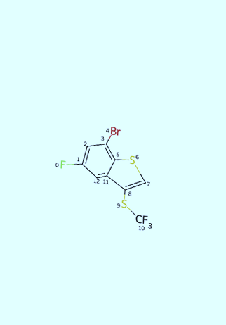 Fc1cc(Br)c2scc(SC(F)(F)F)c2c1